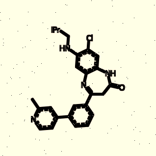 Cc1cc(-c2cccc(C3=Nc4cc(NCC(C)C)c(Cl)cc4NC(=O)C3)c2)ccn1